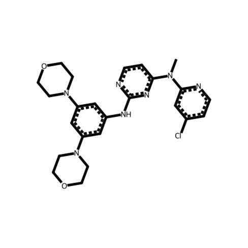 CN(c1cc(Cl)ccn1)c1ccnc(Nc2cc(N3CCOCC3)cc(N3CCOCC3)c2)n1